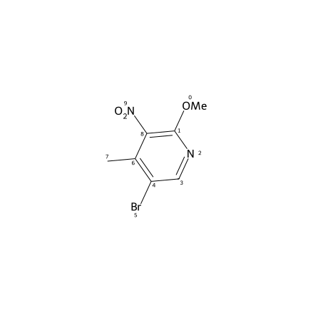 COc1ncc(Br)c(C)c1[N+](=O)[O-]